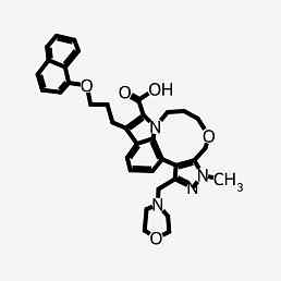 Cn1nc(CN2CCOCC2)c2c1COCCCn1c(C(=O)O)c(CCCOc3cccc4ccccc34)c3cccc-2c31